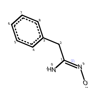 [NH]/C(Cc1ccccc1)=N\O